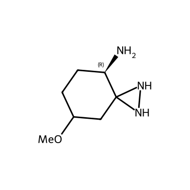 COC1CC[C@@H](N)C2(C1)NN2